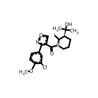 COc1ccc(-c2nocc2C(=O)N2CCC[C@H](C(C)(C)O)C2I)cc1Cl